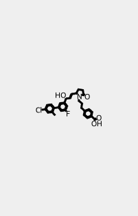 Cc1cc(Cl)ccc1-c1cc(F)cc(C(O)/C=C/C2CCC(=O)N2CCCc2ccc(C(=O)O)cc2)c1